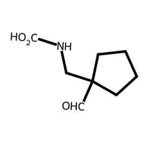 O=CC1(CNC(=O)O)CCCC1